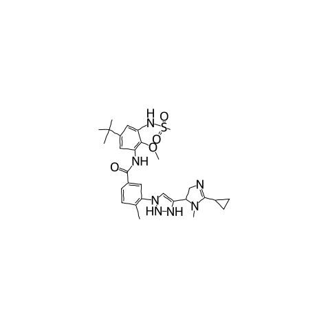 COc1c(NC(=O)c2ccc(C)c(N3C=C(C4CN=C(C5CC5)N4C)NN3)c2)cc(C(C)(C)C)cc1NS(C)(=O)=O